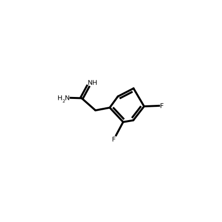 N=C(N)Cc1ccc(F)cc1F